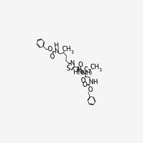 CC(C)C[C@H](NC(=O)OCc1ccccc1)C(=O)NNC(=O)c1csc(CCC(C)CNC(=O)OCc2ccccc2)n1